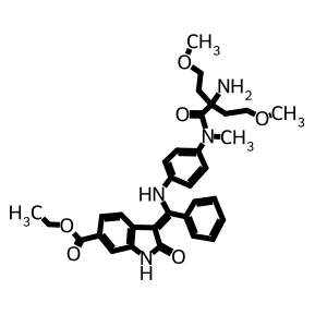 CCOC(=O)c1ccc2c(c1)NC(=O)C2=C(Nc1ccc(N(C)C(=O)C(N)(CCOC)CCOC)cc1)c1ccccc1